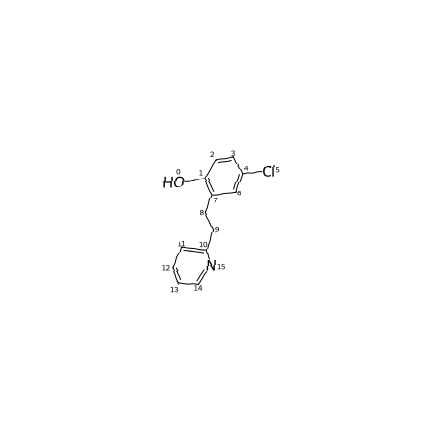 Oc1ccc(Cl)cc1CCc1ccccn1